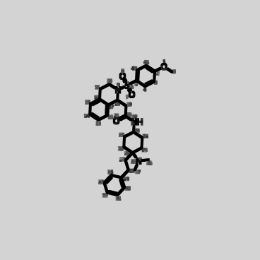 COc1ccc(S(=O)(=O)N2CCc3ccccc3C2CC(=O)NC2CCC(CCc3ccccc3)(N(C)C)CC2)cc1